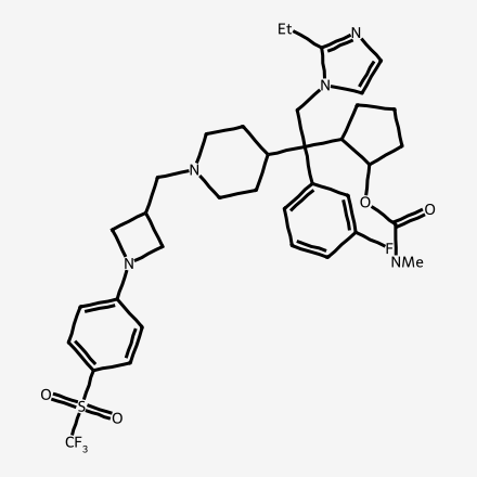 CCc1nccn1CC(c1cccc(F)c1)(C1CCN(CC2CN(c3ccc(S(=O)(=O)C(F)(F)F)cc3)C2)CC1)C1CCCC1OC(=O)NC